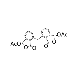 CC(=O)OC1OC(=O)c2c(Cc3cccc4c3C(=O)OC4OC(C)=O)cccc21